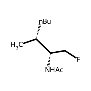 CCCC[C@@H](C)[C@H](CF)NC(C)=O